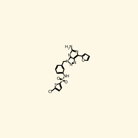 Nc1nc(-c2ccco2)c2nnn(Cc3cccc(NS(=O)(=O)c4ccc(Cl)s4)c3)c2n1